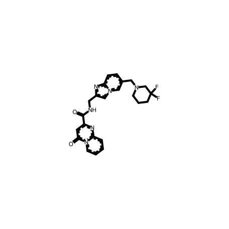 O=C(NCc1cn2cc(CN3CCCC(F)(F)C3)ccc2n1)c1cc(=O)n2ccccc2n1